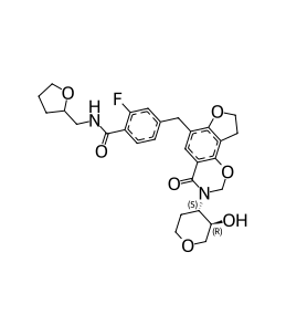 O=C(NCC1CCCO1)c1ccc(Cc2cc3c(c4c2OCC4)OCN([C@H]2CCOC[C@@H]2O)C3=O)cc1F